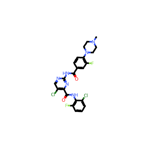 CN1CCN(c2ccc(C(=O)Nc3ncc(Cl)c(C(=O)Nc4c(F)cccc4Cl)n3)cc2F)CC1